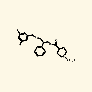 Cc1cc(C)cc(COCC(CNC(=O)C2CCN(C(=O)O)CC2)c2ccccc2)c1